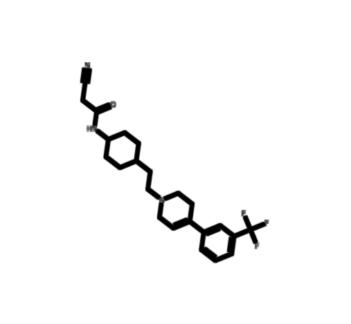 N#CCC(=O)NC1CCC(CCN2CC=C(c3cccc(C(F)(F)F)c3)CC2)CC1